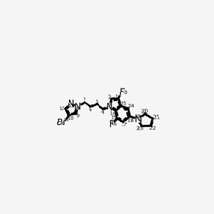 Fc1cn(CCCCn2cc(Br)cn2)c2c(F)cc(N3CCCC3)cc12